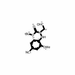 COc1cc(C#N)ccc1NN(CC=O)C(=O)OC(C)(C)C